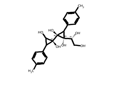 Cc1ccc(C2C(O)[C@]2(O)[C@]2(O)C(c3ccc(C)cc3)[C@@]2(O)[C@H](O)CO)cc1